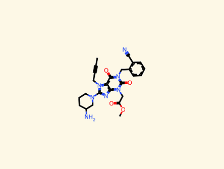 CC#CCn1c(N2CCCC(N)C2)nc2c1c(=O)n(Cc1ccccc1C#N)c(=O)n2CC(=O)OC